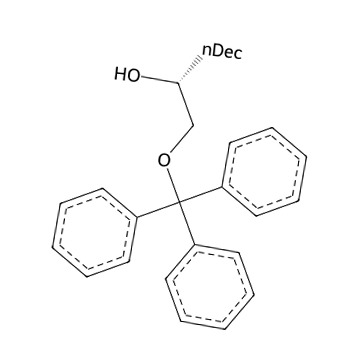 CCCCCCCCCC[C@@H](O)COC(c1ccccc1)(c1ccccc1)c1ccccc1